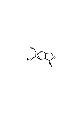 O=C1OCC2C3CC(C(O)C3O)C12